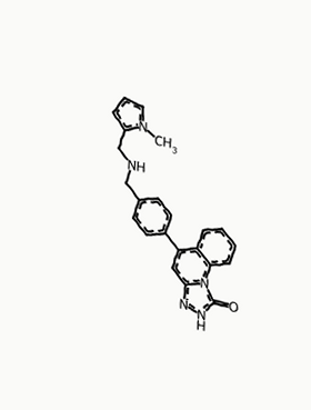 Cn1cccc1CNCc1ccc(-c2cc3n[nH]c(=O)n3c3ccccc23)cc1